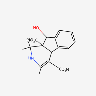 CC1=C(C(=O)O)C2c3ccccc3C(O)C2(C(=O)O)C(C)(C#N)N1